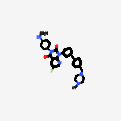 CC(C)N1CCN(Cc2ccc(-c3cccc(-n4c(=O)n([C@H]5CC[C@@H](NC(=O)O)CC5)c(=O)c5cc(F)cnc54)c3)cc2)CC1